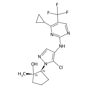 C[C@]1(O)CCC[C@@H]1n1ncc(Nc2ncc(C(F)(F)F)c(C3CC3)n2)c1Cl